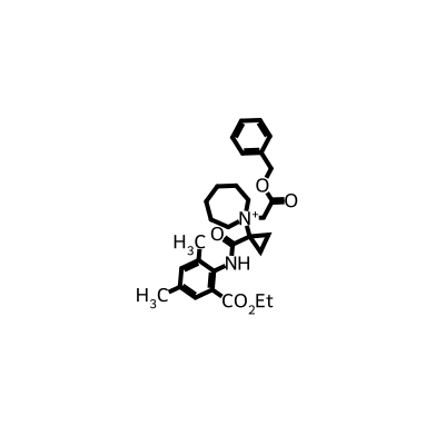 CCOC(=O)c1cc(C)cc(C)c1NC(=O)C1([N+]2(CC(=O)OCc3ccccc3)CCCCCC2)CC1